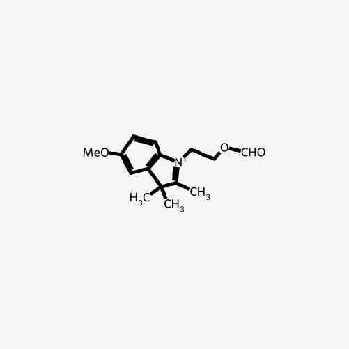 COc1ccc2c(c1)C(C)(C)C(C)=[N+]2CCOC=O